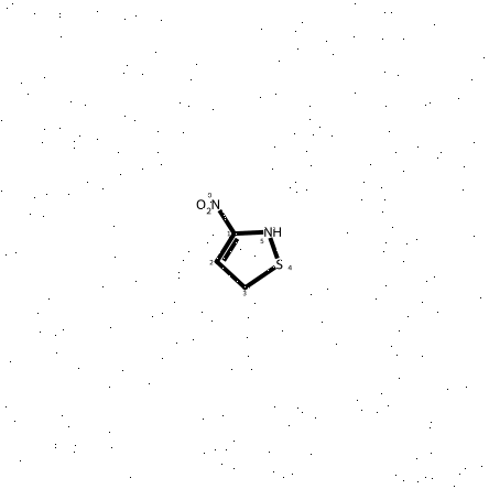 O=[N+]([O-])C1=C[CH]SN1